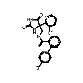 C=C(NCC1(c2ncccc2C(F)(F)F)NC(=O)NC1=O)c1ccccc1-c1ccc(Cl)cc1